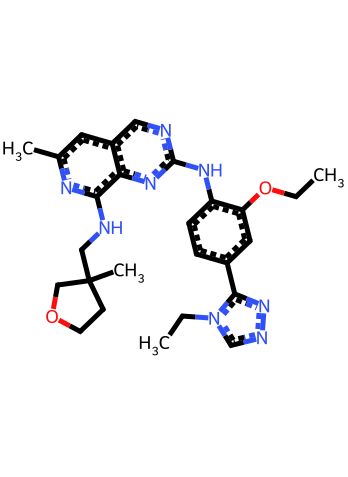 CCOc1cc(-c2nncn2CC)ccc1Nc1ncc2cc(C)nc(NCC3(C)CCOC3)c2n1